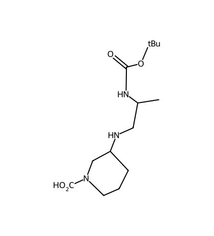 CC(CNC1CCCN(C(=O)O)C1)NC(=O)OC(C)(C)C